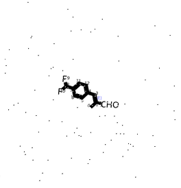 C/C(C=O)=C\c1ccc(C(F)F)cc1